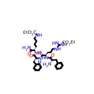 CCOC(=O)NCCCC[C@H](NC(=O)[C@H](Cc1ccccc1)NC(=O)[C@@H](CCCNC(=N)NC(=O)OCC)NC(=O)[C@@H](N)Cc1ccccc1)C(N)=O